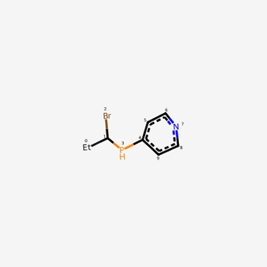 CCC(Br)Pc1ccncc1